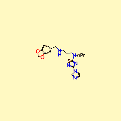 CCCN(CCCNCc1ccc2c(c1)OCO2)c1nc(-n2ccnc2)ns1